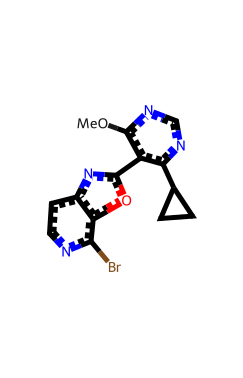 COc1ncnc(C2CC2)c1-c1nc2ccnc(Br)c2o1